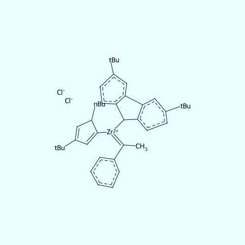 CCCCC1C=C(C(C)(C)C)C=[C]1/[Zr+2](=[C](/C)c1ccccc1)[CH]1c2ccc(C(C)(C)C)cc2-c2cc(C(C)(C)C)ccc21.[Cl-].[Cl-]